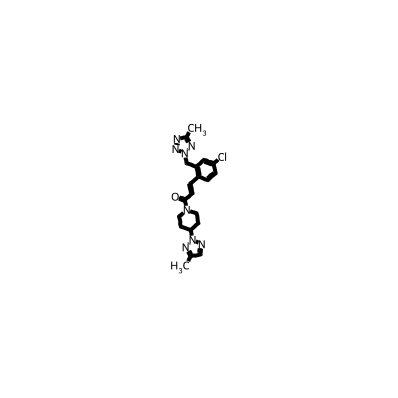 Cc1cnn(C2CCN(C(=O)C=Cc3ccc(Cl)cc3Cn3nnc(C)n3)CC2)n1